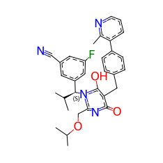 Cc1ncccc1-c1ccc(Cc2c(O)n([C@H](c3cc(F)cc(C#N)c3)C(C)C)c(COC(C)C)nc2=O)cc1